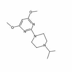 COc1cc(OC)nc(N2CCN(C(C)C)CC2)n1